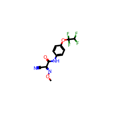 CON=C(C#N)C(=O)Nc1ccc(OC(F)(F)C(F)F)cc1